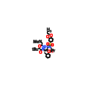 CNCC(=O)NN(C(=O)CC(C)(C)C)[C@@H](Cc1ccccc1)[C@H](O)CN(CC(C)C)S(=O)(=O)c1ccc2c(c1)OC(C)O2